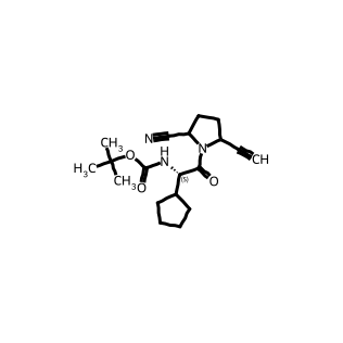 C#CC1CCC(C#N)N1C(=O)[C@@H](NC(=O)OC(C)(C)C)C1CCCC1